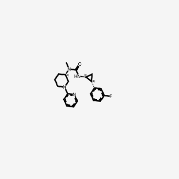 CN(C(=O)N[C@H]1C[C@@H]1c1cccc(F)c1)[C@@H]1CCCN(c2ccccn2)C1